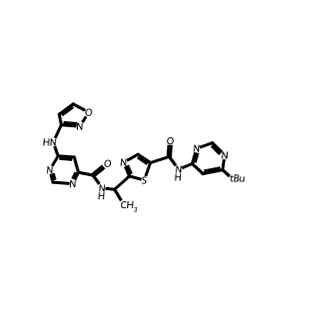 CC(NC(=O)c1cc(Nc2ccon2)ncn1)c1ncc(C(=O)Nc2cc(C(C)(C)C)ncn2)s1